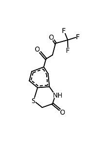 O=C1CSc2ccc(C(=O)CC(=O)C(F)(F)F)cc2N1